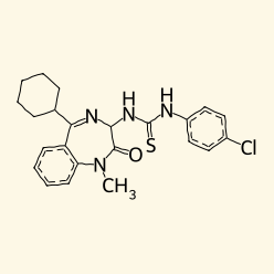 CN1C(=O)C(NC(=S)Nc2ccc(Cl)cc2)N=C(C2CCCCC2)c2ccccc21